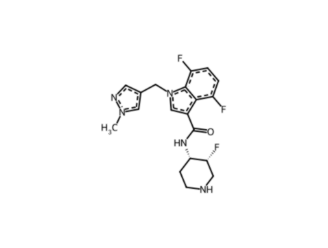 Cn1cc(Cn2cc(C(=O)N[C@H]3CCNC[C@H]3F)c3c(F)ccc(F)c32)cn1